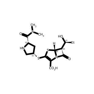 CC[C@H](O)[C@@H]1C(=O)N2C(C(=O)O)=C(S[C@@H]3CN[C@H](C(=O)N(C)C)C3)S[C@H]12